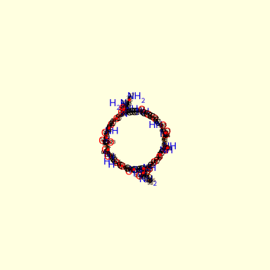 CC(=O)NC1CSC2CC(=O)N(CCC(=O)NCCOCCOCCC(=O)NC(C(=O)NC(CCCCN)C(N)=O)CCCCNC(=O)CCOCCOCCNC(=O)CCN3C(=O)CC(SCC(NC(C)=O)C(=O)NCCOCCOCCC(=O)NC(C(=O)NC(CSSC(C)(C)C)C(N)=O)CCCCNC(=O)CCOCCOCCNC1=O)C3=O)C2=O